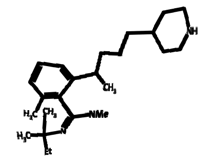 CCC(C)(C)/N=C(/NC)c1c(C)cccc1C(C)CCCC1CCNCC1